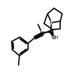 Cc1cccc(C#CC2(O)CC3CCC(C2)N3C(=O)N(C)C)c1